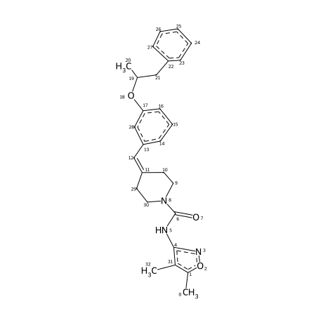 Cc1onc(NC(=O)N2CCC(=Cc3cccc(OC(C)Cc4ccccc4)c3)CC2)c1C